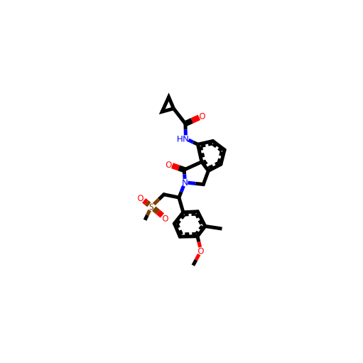 COc1ccc(C(CS(C)(=O)=O)N2Cc3cccc(NC(=O)C4CC4)c3C2=O)cc1C